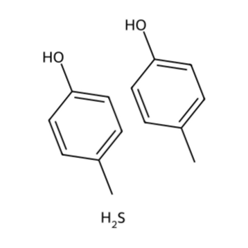 Cc1ccc(O)cc1.Cc1ccc(O)cc1.S